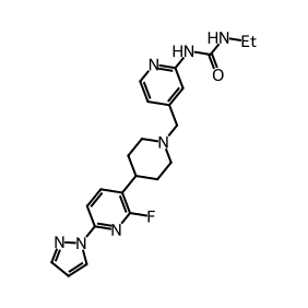 CCNC(=O)Nc1cc(CN2CCC(c3ccc(-n4cccn4)nc3F)CC2)ccn1